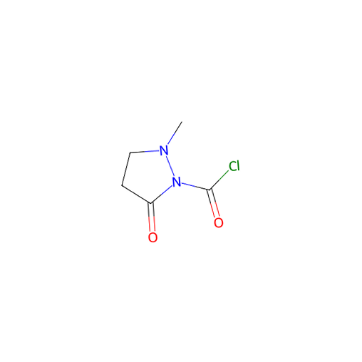 CN1CCC(=O)N1C(=O)Cl